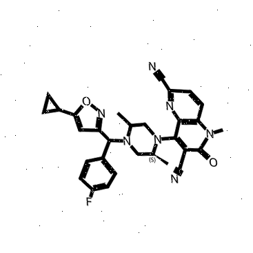 CC1CN(c2c(C#N)c(=O)n(C)c3ccc(C#N)nc23)[C@@H](C)CN1C(c1ccc(F)cc1)c1cc(C2CC2)on1